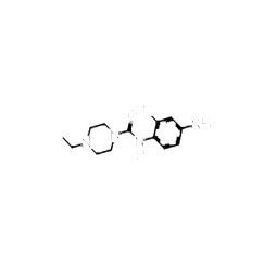 CCN1CCN(C(=O)Nc2ccc(N)cc2F)CC1